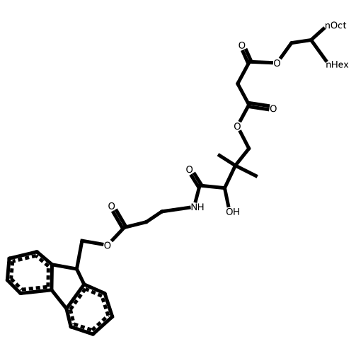 CCCCCCCCC(CCCCCC)COC(=O)CC(=O)OCC(C)(C)C(O)C(=O)NCCC(=O)OCC1c2ccccc2-c2ccccc21